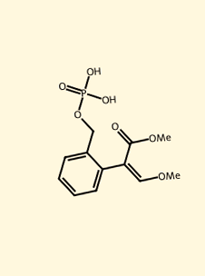 COC=C(C(=O)OC)c1ccccc1COP(=O)(O)O